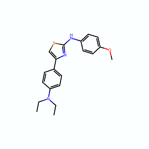 CCN(CC)c1ccc(-c2csc(Nc3ccc(OC)cc3)n2)cc1